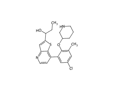 CCC(O)c1cc2nccc(-c3cc(Cl)cc(C)c3OC3CCCNC3)c2s1